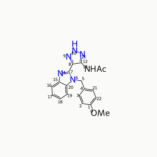 COc1ccc(Cn2c(-c3n[nH]nc3NC(C)=O)nc3ccccc32)cc1